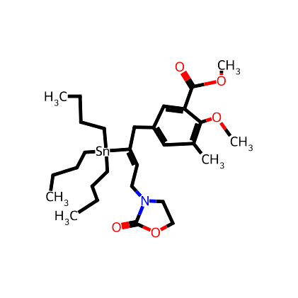 CCC[CH2][Sn]([CH2]CCC)([CH2]CCC)[C](=CCN1CCOC1=O)Cc1cc(C)c(OC)c(C(=O)OC)c1